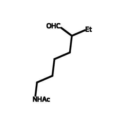 CCC(C=O)CCCCNC(C)=O